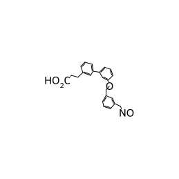 O=NCc1cccc(COc2cccc(-c3cccc(CCC(=O)O)c3)c2)c1